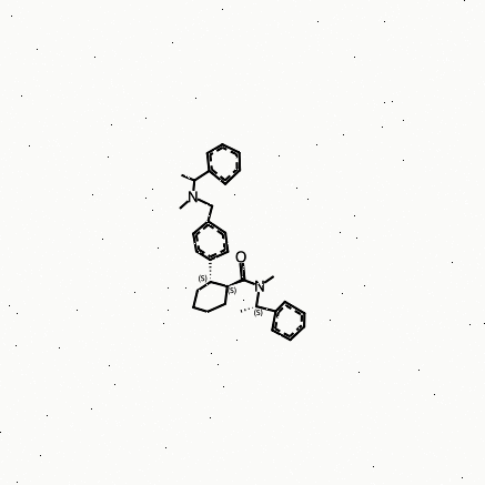 CC(c1ccccc1)N(C)Cc1ccc([C@H]2CCCC[C@@H]2C(=O)N(C)[C@@H](C)c2ccccc2)cc1